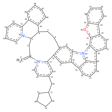 C=C1CC2C(CCc3cc4c(cc3-c3cc(CC5CCCC5)cc[n+]31)c1cccc3c5ccc6c7ccccc7oc6c5n4c13)c1ccccc1-c1cccc[n+]12